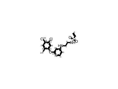 C=CS(=O)(=O)NCCNc1ccnc(Oc2cc(Cl)c(Cl)cc2I)c1